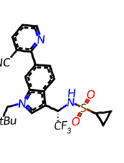 CC(C)(C)Cn1cc([C@H](NS(=O)(=O)C2CC2)C(F)(F)F)c2ccc(-c3ncccc3C#N)cc21